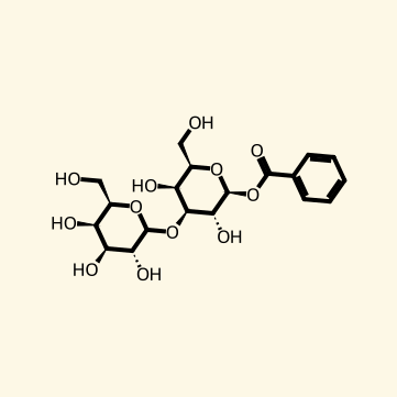 O=C(O[C@@H]1O[C@H](CO)[C@H](O)[C@H](OC2O[C@H](CO)[C@H](O)[C@H](O)[C@H]2O)[C@H]1O)c1ccccc1